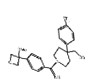 COCC1(c2ccc(C(F)(F)F)cc2)CCN(C(=N)c2ccc(C3(OC)COC3)cc2)CC1